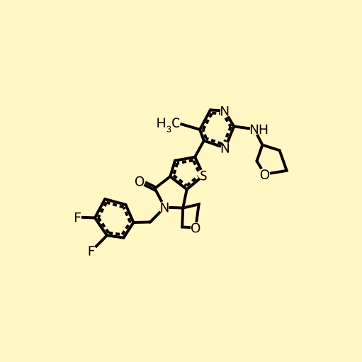 Cc1cnc(NC2CCOC2)nc1-c1cc2c(s1)C1(COC1)N(Cc1ccc(F)c(F)c1)C2=O